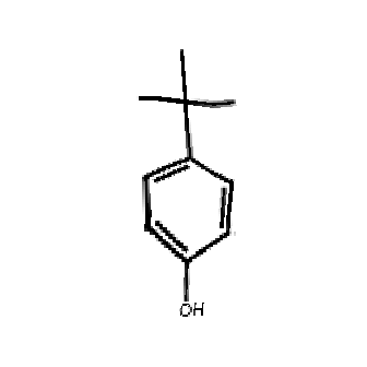 CC(C)(C)c1c[c]c(O)cc1